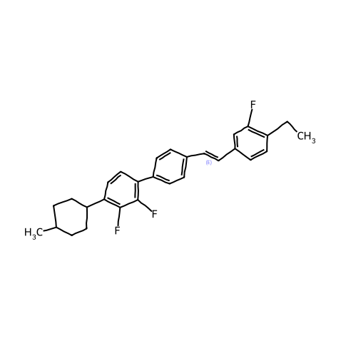 CCc1ccc(/C=C/c2ccc(-c3ccc(C4CCC(C)CC4)c(F)c3F)cc2)cc1F